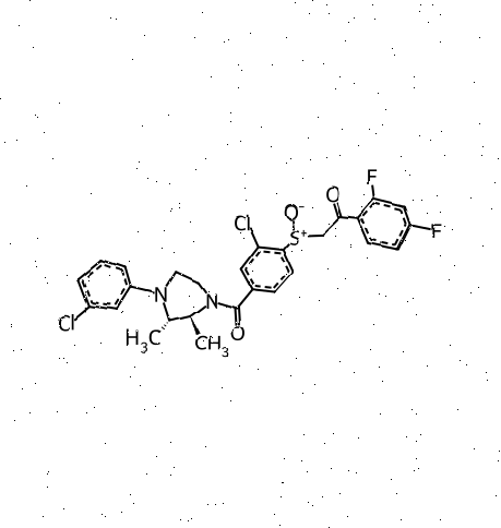 C[C@H]1[C@H](C)N(c2cccc(Cl)c2)CCN1C(=O)c1ccc([S+]([O-])CC(=O)c2ccc(F)cc2F)c(Cl)c1